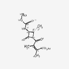 C/C(C(=O)O)=C(\C)C(=O)N1C(=O)[C@@H](NC(=O)OC(C)(C)C)[C@@H]1C